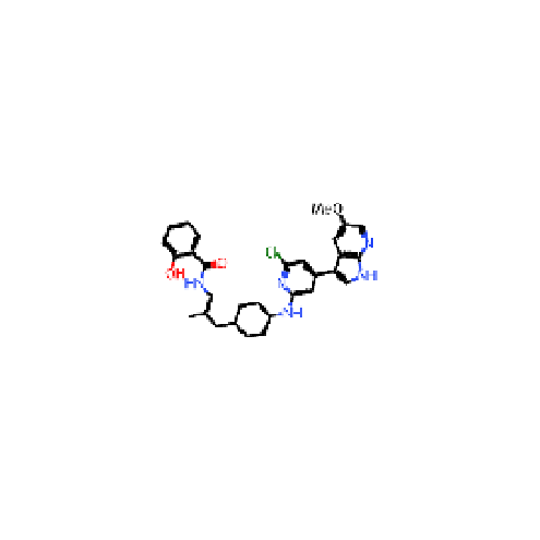 COc1cnc2[nH]cc(-c3cc(Cl)nc(NC4CCC(CC(C)CNC(=O)c5ccccc5O)CC4)c3)c2c1